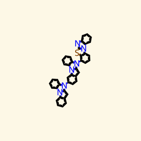 c1ccc2c(c1)cc1n(-c3ccc4cc5n(-c6cccc7c6sc6nc8ccccc8n67)c6ccccc6n5c4c3)c3ccccc3n21